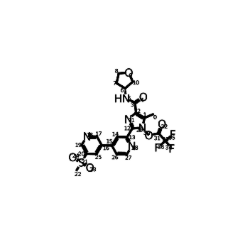 Cc1c(C(=O)N[C@H]2CCOC2)nc(-c2cc(-c3cncc(S(C)(=O)=O)c3)ccn2)n1OC(=O)C(F)(F)F